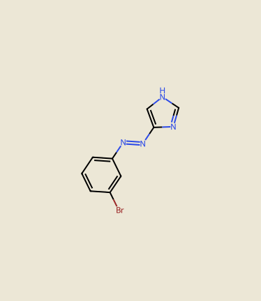 Brc1cccc(N=Nc2c[nH]cn2)c1